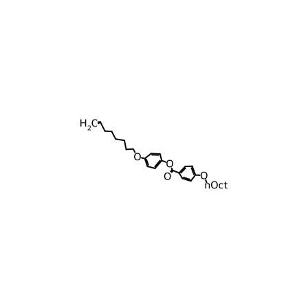 C=CCCCCCCOc1ccc(OC(=O)c2ccc(OCCCCCCCC)cc2)cc1